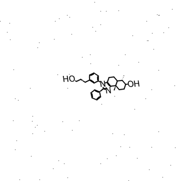 C[C@@H]1C(O)CC[C@]2(C)c3nc(-c4ccccc4)n(-c4cccc(CCCO)c4)c3CCC12